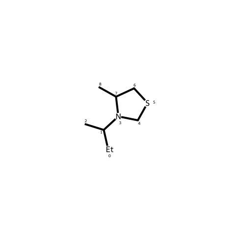 CCC(C)N1CSCC1C